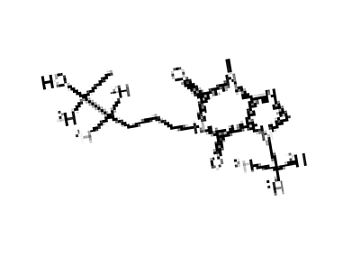 [2H]C([2H])([2H])n1cnc2c1c(=O)n(CCCC([2H])([2H])[C@@]([2H])(C)O)c(=O)n2C